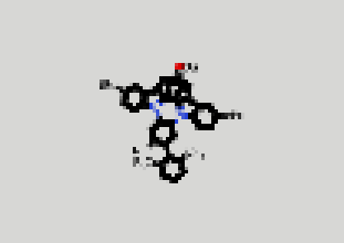 CC(C)(C)c1ccc2c(c1)c1cc(C(C)(C)C)ccc1n2-c1cc(C#N)c(-c2c(C(F)(F)F)cccc2C(F)(F)F)cc1-n1c2ccc(C(C)(C)C)cc2c2cc(C(C)(C)C)ccc21